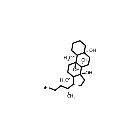 CC(C)CC[C@@H](C)[C@H]1CC[C@@]2(O)[C@]3(C)CC[C@]4(O)CCCC[C@]4(C)[C@@]3(O)CC[C@]12C